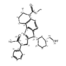 COC(=O)N1c2ccc3c(nc(C[C@H](C(=O)O)c4ccccc4)n3[C@H]3CCC[C@@H](CO)C3)c2CC[C@@H]1C